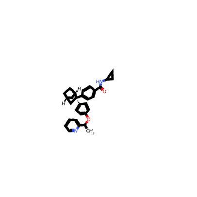 CC(Oc1ccc([C@]2(c3ccc(C(=O)NC4CC4)cc3)C[C@@H]3CC[C@H]2C3)cc1)c1ccccn1